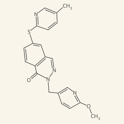 COc1ccc(Cn2ncc3cc(Sc4ccc(C)cn4)ccc3c2=O)cn1